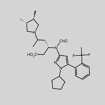 CC(C[C@@H](CC(=O)O)N(C=O)c1cc(-c2ccccc2C(C)(F)F)n(C2CCCC2)n1)N1C[C@H](C)[C@@H](C)C1